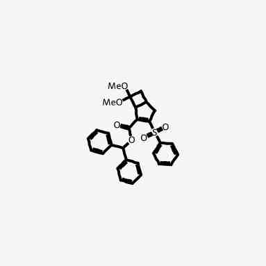 COC1(OC)CC2CC(S(=O)(=O)c3ccccc3)=C(C(=O)OC(c3ccccc3)c3ccccc3)C21